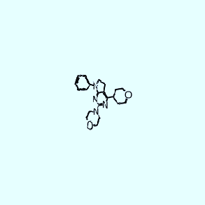 c1ccc(N2CCc3c(C4CCOCC4)nc(N4CCOCC4)nc32)cc1